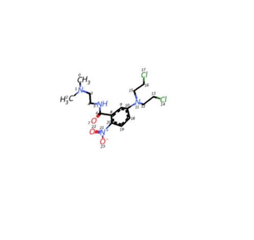 CN(C)CCNC(=O)c1cc(N(CCCl)CCCl)ccc1[N+](=O)[O-]